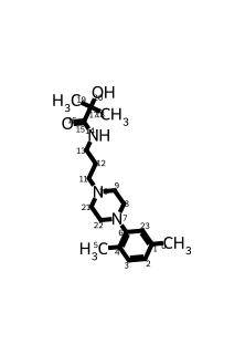 Cc1ccc(C)c(N2CCN(CCCNC(=O)C(C)(C)O)CC2)c1